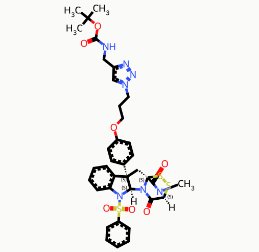 CN1C(=O)[C@@]23C[C@]4(c5ccc(OCCCn6cc(CNC(=O)OC(C)(C)C)nn6)cc5)c5ccccc5N(S(=O)(=O)c5ccccc5)[C@@H]4N2C(=O)[C@@H]1SS3